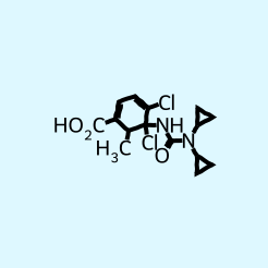 CC1C(C(=O)O)=CC=C(Cl)C1(Cl)NC(=O)N(C1CC1)C1CC1